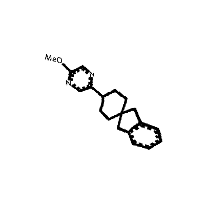 COc1cnc(C2CCC3(CC2)Cc2ccccc2C3)cn1